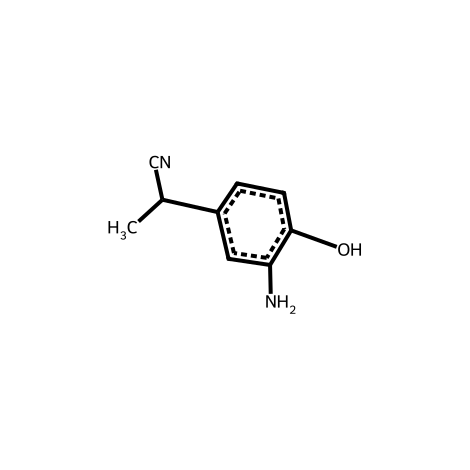 CC(C#N)c1ccc(O)c(N)c1